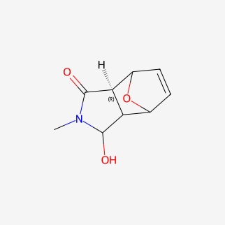 CN1C(=O)[C@H]2C3C=CC(O3)C2C1O